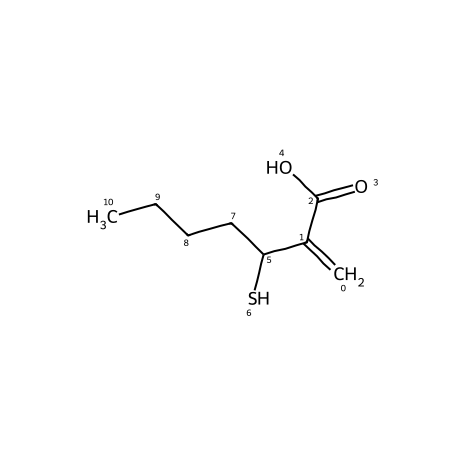 C=C(C(=O)O)C(S)CCCC